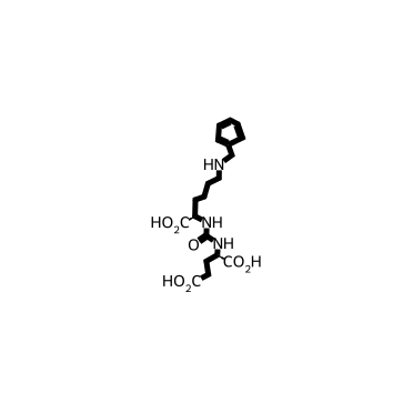 O=C(O)CC[C@H](NC(=O)N[C@@H](CCCCNCc1ccccc1)C(=O)O)C(=O)O